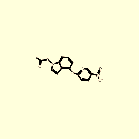 CC(=O)On1ccc2c(Oc3ccc([N+](=O)[O-])cn3)cccc21